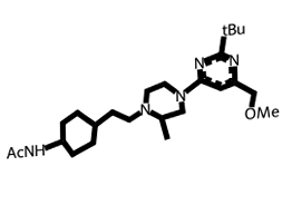 COCc1cc(N2CCN(CCC3CCC(NC(C)=O)CC3)C(C)C2)nc(C(C)(C)C)n1